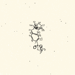 C[Si](C)(C)OC(=O)c1ccc(CN2[Si](C)(C)CC[Si]2(C)C)cc1